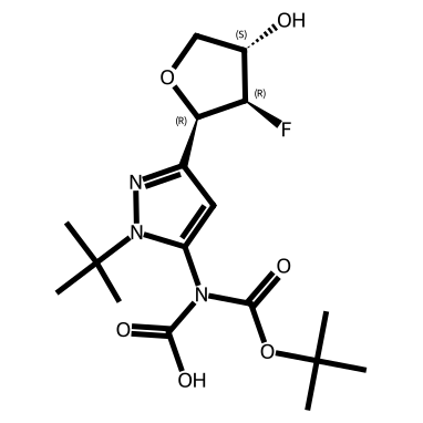 CC(C)(C)OC(=O)N(C(=O)O)c1cc([C@H]2OC[C@H](O)[C@H]2F)nn1C(C)(C)C